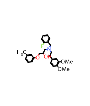 COc1ccc(CCN(Cc2ccccc2F)CC(O)COc2cccc(C)c2)cc1OC